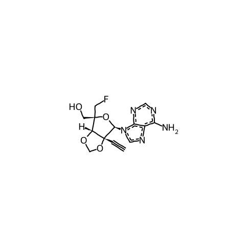 C#C[C@@]12OCO[C@@H]1[C@](CO)(CF)O[C@H]2n1cnc2c(N)ncnc21